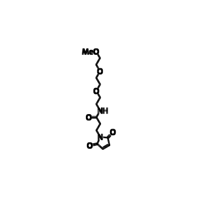 COCCOCCOCCNC(=O)CCN1C(=O)C=CC1=O